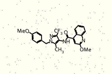 COc1ccc(Cn2nc(C(F)(F)F)c(NC(=O)c3cc(OC)nc4ccccc34)c2C)cc1